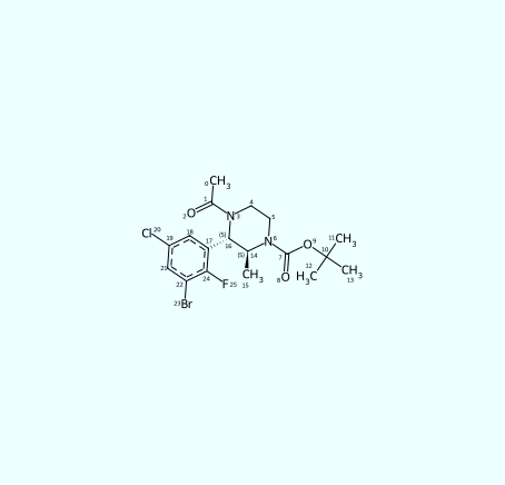 CC(=O)N1CCN(C(=O)OC(C)(C)C)[C@@H](C)[C@@H]1c1cc(Cl)cc(Br)c1F